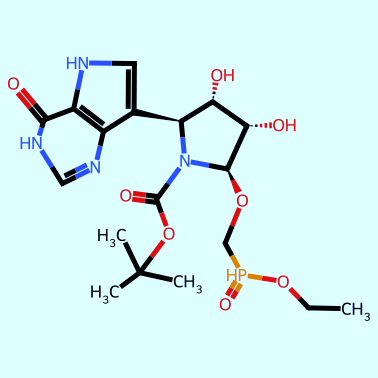 CCO[PH](=O)CO[C@@H]1[C@@H](O)[C@@H](O)[C@H](c2c[nH]c3c(=O)[nH]cnc23)N1C(=O)OC(C)(C)C